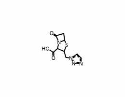 O=C(O)C1C(Cn2ccnn2)SC2CC(=O)N21